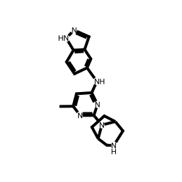 Cc1cc(Nc2ccc3[nH]ncc3c2)nc(N2C3CCC2CNC3)n1